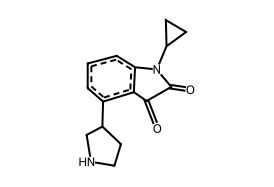 O=C1C(=O)N(C2CC2)c2cccc(C3CCNC3)c21